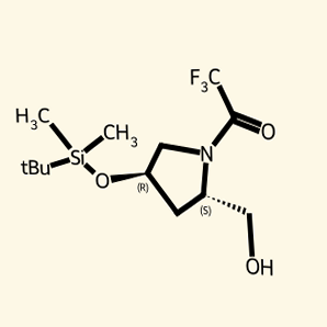 CC(C)(C)[Si](C)(C)O[C@@H]1C[C@@H](CO)N(C(=O)C(F)(F)F)C1